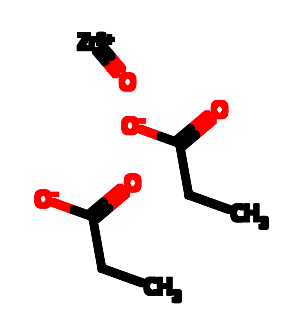 CCC(=O)[O-].CCC(=O)[O-].[O]=[Zr+2]